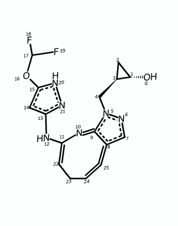 O[C@H]1C[C@@H]1Cn1ncc2/c1=N\C(Nc1cc(OC(F)F)[nH]n1)=C/CC=C=2